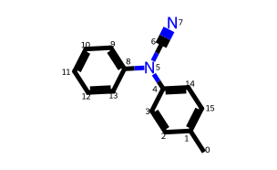 Cc1ccc(N(C#N)c2ccccc2)cc1